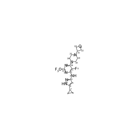 Fc1c(Nc2cc(C3CC3)[nH]n2)nc(C(F)(F)F)nc1N1CCN(C2COC2)CC1